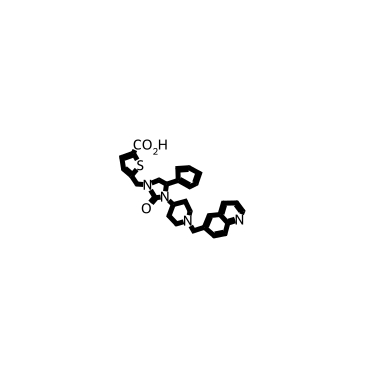 O=C(O)c1ccc(CN2CC(c3ccccc3)N(C3CCN(Cc4ccc5ncccc5c4)CC3)C2=O)s1